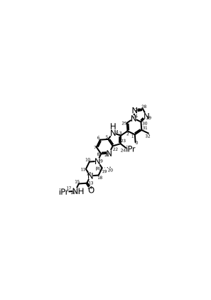 Cc1c(-c2[nH]c3ccc(N4CCN(C(=O)CNC(C)C)C[C@H]4C)nc3c2C(C)C)cn2ncnc2c1C